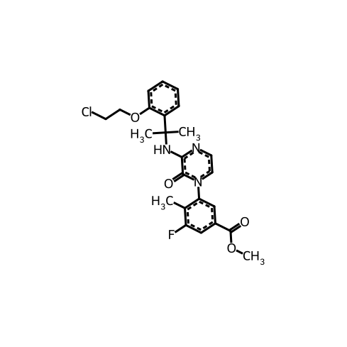 COC(=O)c1cc(F)c(C)c(-n2ccnc(NC(C)(C)c3ccccc3OCCCl)c2=O)c1